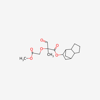 COC(=O)COC(C)(C=O)C(=O)OC1CC2CC1C1CCCC21